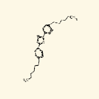 CCCCCCc1ccc(-c2cnc(-c3ccc(CCCCCC)cc3)s2)cc1